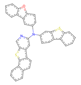 c1ccc2c(c1)ccc1c3cc(N(c4ccc5c(c4)sc4ccccc45)c4ccc5oc6ccccc6c5c4)ncc3sc21